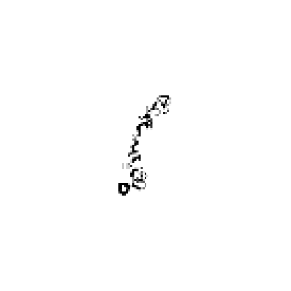 O=C(CN1CCOC1=O)Nc1nnc(CCSCCc2nnc(NC(=O)CN3C(=O)OC[C@H]3c3ccccc3)s2)s1